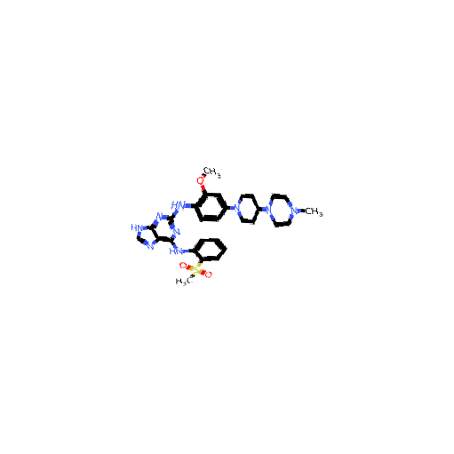 COc1cc(N2CCC(N3CCN(C)CC3)CC2)ccc1Nc1nc(Nc2ccccc2S(C)(=O)=O)c2nc[nH]c2n1